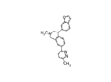 Cc1ccc(-c2ccc3c(c2)CN(C)CC3c2ccc3ccoc3c2)nn1